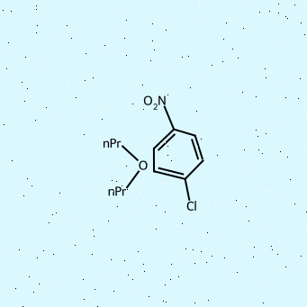 CCCOCCC.O=[N+]([O-])c1ccc(Cl)cc1